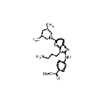 COC(=O)c1ccc(Nc2nc3ccc(N4CC(C)CC(C)C4)nc3n2CCCN)cc1